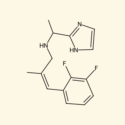 CC(=Cc1cccc(F)c1F)CNC(C)c1ncc[nH]1